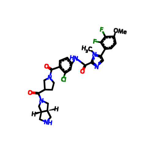 COc1ccc(-c2cnc(C(=O)Nc3ccc(C(=O)N4CCC(C(=O)N5C[C@H]6CNC[C@@H]6C5)C4)c(Cl)c3)n2C)c(F)c1F